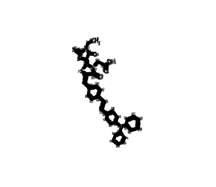 CCN1C(=O)/C(=c2/s/c(=C/c3ccc(/C=C/c4ccc(N(c5ccccc5)c5ccccc5)cc4)cc3)c(=O)n2CC(=O)O)SC1=S